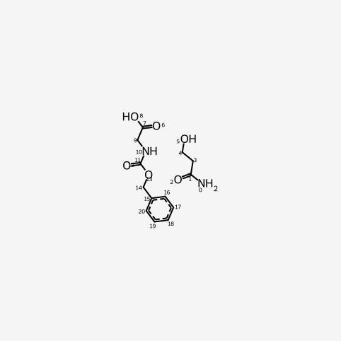 NC(=O)CCO.O=C(O)CNC(=O)OCc1ccccc1